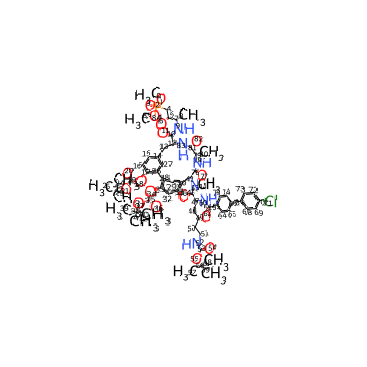 COP(=O)(CC(=O)[C@H](C)NC(=O)[C@@H]1Cc2ccc(OC(=O)OC(C)(C)C)c(c2)-c2cc(ccc2OC(=O)OC(C)(C)C)[C@H](N(C)C(=O)[C@H](CCCCNC(=O)OC(C)(C)C)NC(=O)c2ccc(-c3ccc(Cl)cc3)cc2)C(=O)N[C@@H](C)C(=O)N1)OC